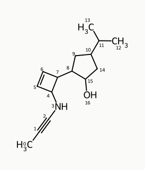 CC#CNC1C=CC1C1CC(C(C)C)CC1O